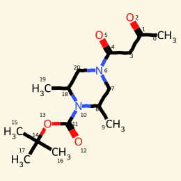 CC(=O)CC(=O)N1CC(C)N(C(=O)OC(C)(C)C)C(C)C1